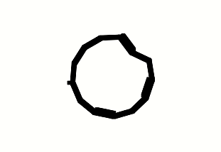 [CH]1C/C=C\C/C=C\C/C=C/CCC1